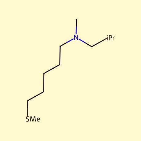 CSCCCCCN(C)CC(C)C